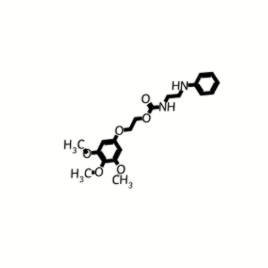 COc1cc(OCCOC(=O)NCCNc2ccccc2)cc(OC)c1OC